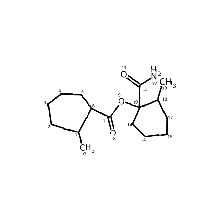 CC1CCCCC1C(=O)OC1(C(N)=O)CCCCC1C